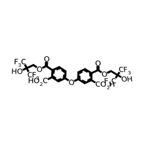 O=C(O)c1cc(Oc2ccc(C(=O)OCC(O)(C(F)(F)F)C(F)(F)F)c(C(=O)O)c2)ccc1C(=O)OCC(O)(C(F)(F)F)C(F)(F)F